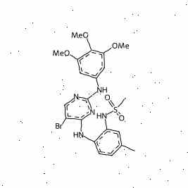 COc1cc(Nc2ncc(Br)c(Nc3ccc(C)cc3NS(C)(=O)=O)n2)cc(OC)c1OC